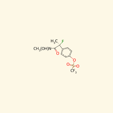 CN(O)C(=O)[C@@](C)(F)c1ccc(OS(=O)(=O)C(F)(F)F)cc1